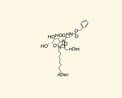 CCCCCCCCCCCCCCCCCCN(C(=O)CCCCCCCCCCC)[C@@H]1O[C@H](CO)[C@@H](O)[C@H](O)[C@H]1NC(=O)CNC(=O)OCc1ccccc1